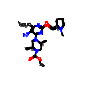 C[C@H]1CN(c2nc(OC[C@@H]3CCCN3C)nc(C(=O)O)c2N)[C@@H](C)CN1C(=O)OC(C)(C)C